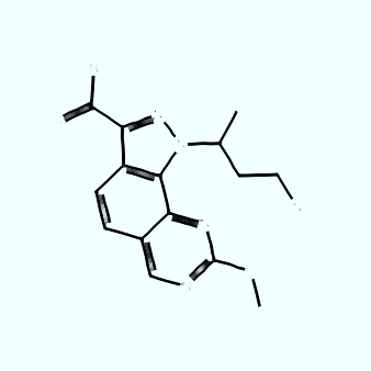 CSc1ncc2ccc3c(C(N)=O)nn(C(C)CCN)c3c2n1